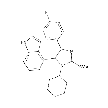 CSC1=NC(c2ccc(F)cc2)C(c2ccnc3[nH]ccc23)N1C1CCCCC1